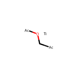 CC(=O)COC(C)=O.[Ti]